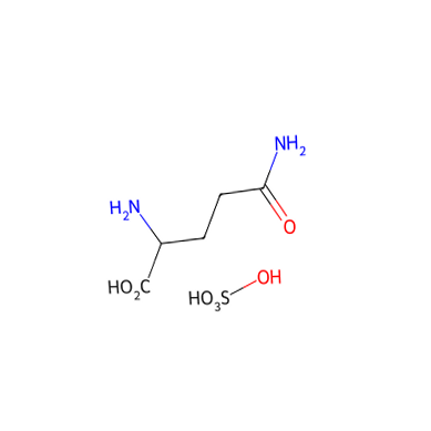 NC(=O)CCC(N)C(=O)O.O=S(=O)(O)O